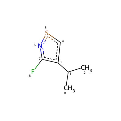 CC(C)c1csnc1F